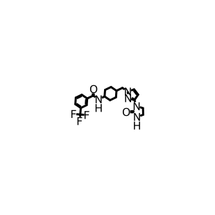 O=C(NC1CCC(Cn2ccc(N3CCNC3=O)n2)CC1)c1cccc(C(F)(F)F)c1